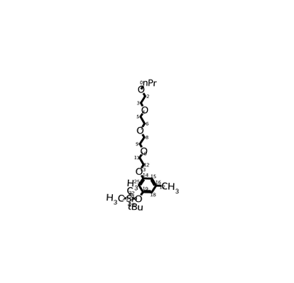 CCCOCCOCCOCCOCCOc1cc(C)cc(O[Si](C)(C)C(C)(C)C)c1